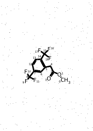 COC(=O)Cc1cc(C(F)(F)F)ccc1C(F)(F)F